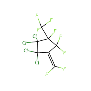 FC(F)=C1C(F)(F)C(F)(C(F)(F)F)C(Cl)(Cl)C1(Cl)Cl